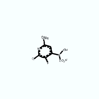 COc1cc(N(C(=O)O)C(C)(C)C)c(F)c(Cl)n1